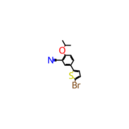 CC(C)Oc1ccc(-c2ccc(Br)s2)cc1C#N